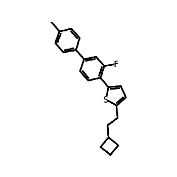 Cc1ccc(-c2ccc(-c3ccc(CCC4CCC4)s3)c(F)c2)cc1